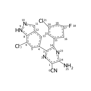 N#Cc1nc(-c2cc(Cl)c3[nH]ncc3c2)c(-c2cc(F)cc(Cl)c2)nc1N